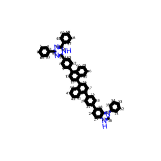 c1ccc(C2=NC(c3ccc(-c4ccc(-c5ccc(-c6ccc(-c7ccc8c(c7)N(c7ccccc7)CN8)cc6)c6ccccc56)c5ccccc45)cc3)NC(c3ccccc3)=N2)cc1